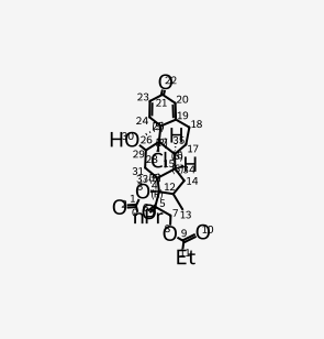 CCCC(=O)O[C@]1(C(=O)COC(=O)CC)C(C)C[C@H]2[C@@H]3CCC4=CC(=O)C=C[C@]4(C)[C@@]3(Cl)C(O)C[C@@]21C